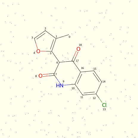 Cc1ccoc1C1C(=O)Nc2cc(Cl)ccc2C1=O